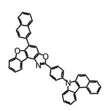 c1ccc2cc(-c3cc4oc(-c5ccc(-n6c7ccccc7c7c8ccccc8ccc76)cc5)nc4c4c3oc3ccccc34)ccc2c1